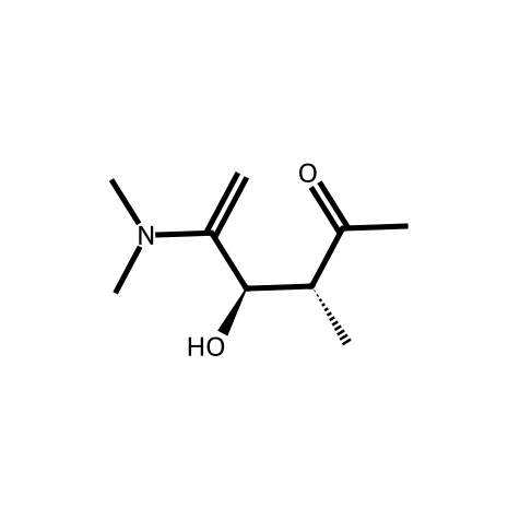 C=C([C@H](O)[C@@H](C)C(C)=O)N(C)C